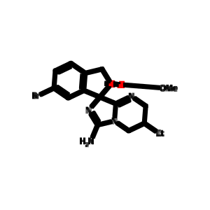 CCC1CN=C2N(C1)C(N)=NC21c2cc(Br)ccc2CC12CCC(OC)CC2